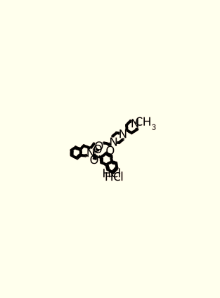 CN1CCC(N2CCN(C(=O)COCC3Cc4ccccc4CN3S(=O)(=O)c3ccc4ccccc4c3)CC2)CC1.Cl.Cl